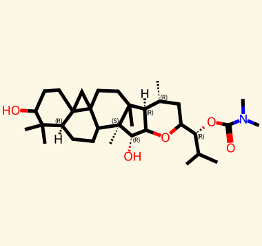 CC(C)[C@@H](OC(=O)N(C)C)C1C[C@@H](C)[C@H]2C(O1)[C@H](O)[C@@]1(C)C3CC[C@H]4C(C)(C)C(O)CCC45CC35CCC21C